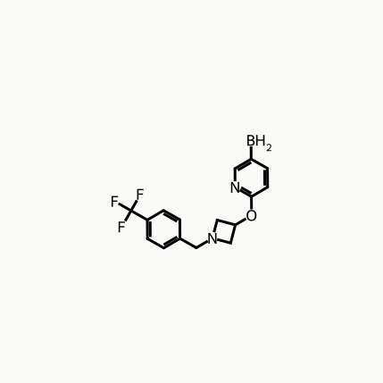 Bc1ccc(OC2CN(Cc3ccc(C(F)(F)F)cc3)C2)nc1